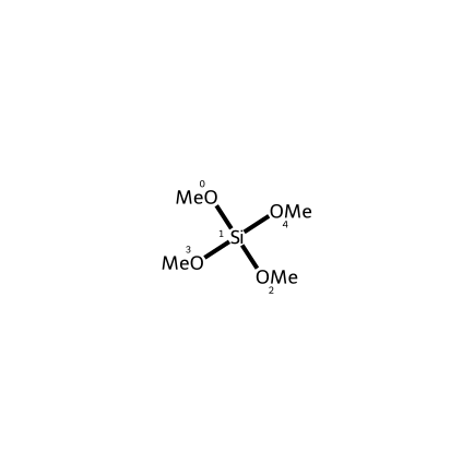 [CH2]O[Si](OC)(OC)OC